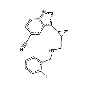 N#Cc1ccc2[nH]cc(C3CC3CNCc3ccccc3F)c2c1